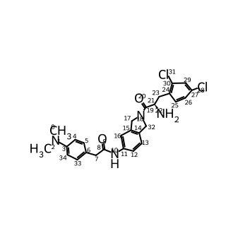 CN(C)c1ccc(CC(=O)Nc2ccc3c(c2)CN(C(=O)[C@H](N)Cc2ccc(Cl)cc2Cl)C3)cc1